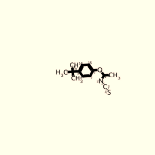 CC(N=C=S)Oc1ccc(C(C)(C)C)cc1